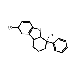 CC1C=CC2=C(C1)C1CCC[C@](C)(c3ccccc3)C1S2